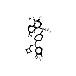 Cc1cc(N(CC2CCC2)C2CCC(N(C)c3cc(=O)n(C)c4ccc(C#N)nc34)CC2)ccc1F